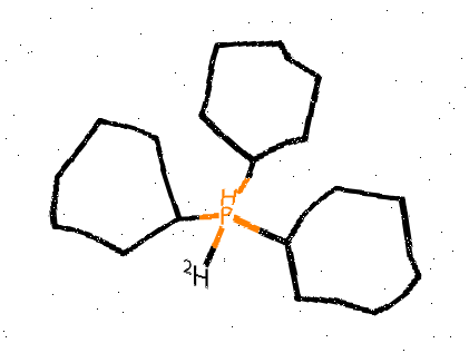 [2H][PH](C1CCCCC1)(C1CCCCC1)C1CCCCC1